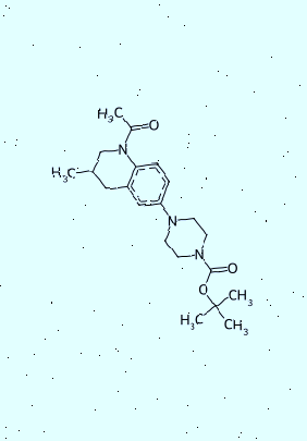 CC(=O)N1CC(C)Cc2cc(N3CCN(C(=O)OC(C)(C)C)CC3)ccc21